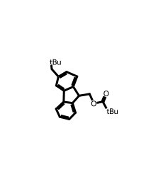 CC(C)(C)Cc1ccc2c(c1)-c1ccccc1C2COC(=O)C(C)(C)C